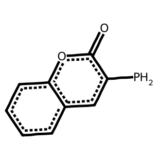 O=c1oc2ccccc2cc1P